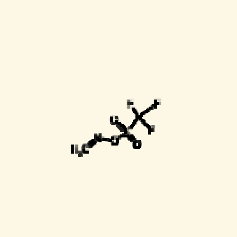 C=NOS(=O)(=O)C(F)(F)F